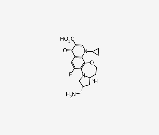 NC[C@H]1C[C@@H]2CCOc3c(c(F)cc4c(=O)c(C(=O)O)cn(C5CC5)c34)N2C1